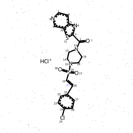 Cl.O=C(c1nc2ccncc2s1)N1CCN(S(=O)(=O)/C=C/c2ccc(Cl)cc2)CC1